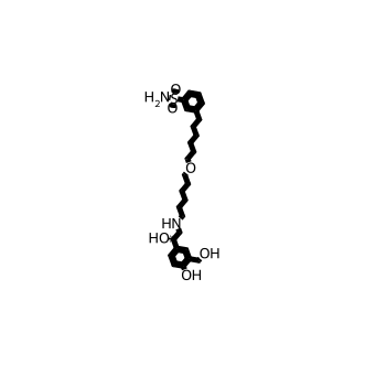 NS(=O)(=O)c1cccc(CCCCCCOCCCCCCNC[C@@H](O)c2ccc(O)c(CO)c2)c1